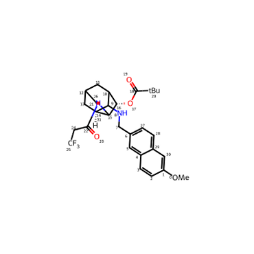 COc1ccc2cc(CNC3C4CC5C[C@@H]3C([C@H]4OC(=O)C(C)(C)C)N(C(=O)CC(F)(F)F)C5)ccc2c1